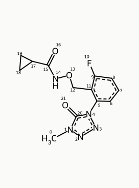 Cn1nnn(-c2cccc(F)c2CONC(=O)C2CC2)c1=O